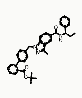 CCC(NC(=O)c1ccc2c(c1)c(C)nn2Cc1ccc(-c2ccccc2C(=O)OC(C)(C)C)cc1)c1ccccc1